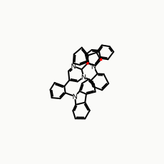 C1=NC(c2ccccc2)N(c2ccccc2-n2c3ccccc3c3ccccc32)C=C1c1ccccc1-n1c2ccccc2c2ccccc21